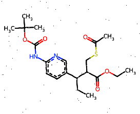 CCOC(=O)C(CSC(C)=O)C(CC)c1ccc(NC(=O)OC(C)(C)C)nc1